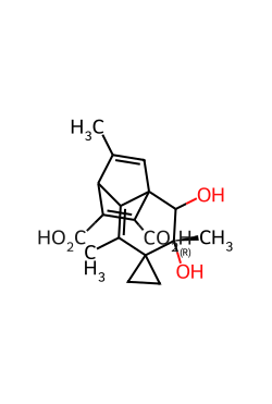 CC1=CC23C(C(=O)O)=C(C(=O)O)C1C2=C(C)C1(CC1)[C@@](C)(O)C3O